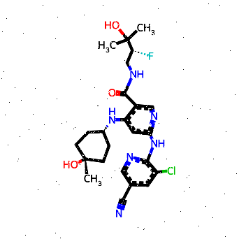 CC(C)(O)[C@H](F)CNC(=O)c1cnc(Nc2ncc(C#N)cc2Cl)cc1N[C@H]1CC[C@@](C)(O)CC1